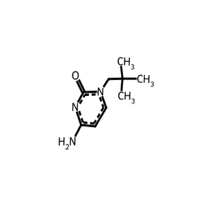 CC(C)(C)Cn1ccc(N)nc1=O